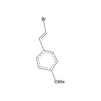 COc1ccc(/C=C/Br)cc1